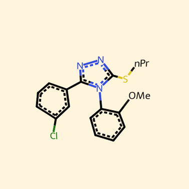 CCCSc1nnc(-c2cccc(Cl)c2)n1-c1ccccc1OC